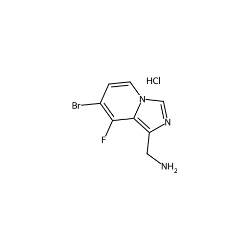 Cl.NCc1ncn2ccc(Br)c(F)c12